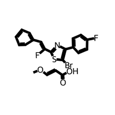 COC=CC(=O)O.FC(=Cc1ccccc1)c1nc(-c2ccc(F)cc2)c(Br)s1